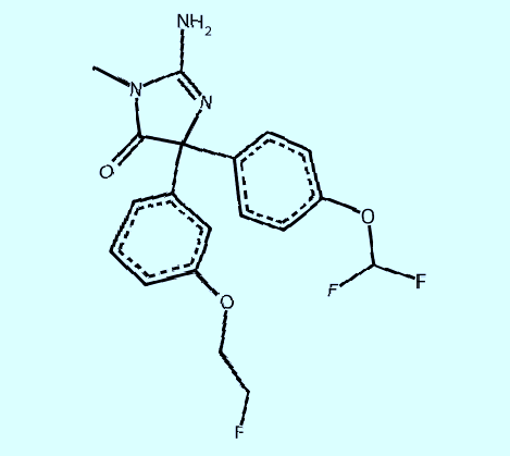 CN1C(=O)C(c2ccc(OC(F)F)cc2)(c2cccc(OCCF)c2)N=C1N